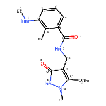 CCNc1cccc(C(=O)NCc2c(OC)n(C)[nH]c2=O)c1C